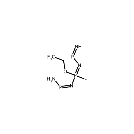 N=PN=P(F)(/N=P\N)OCC(F)(F)F